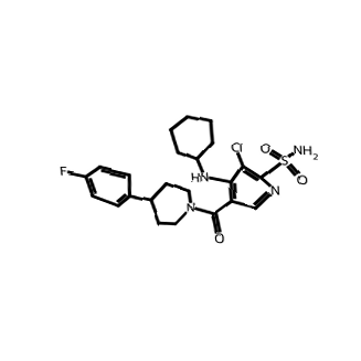 NS(=O)(=O)c1ncc(C(=O)N2CCC(c3ccc(F)cc3)CC2)c(NC2CCCCC2)c1Cl